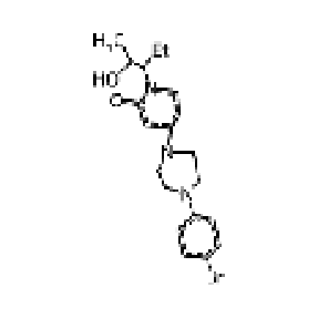 CCC(C(C)O)n1ccc(N2CCN(c3ccc(Br)cc3)CC2)cc1=O